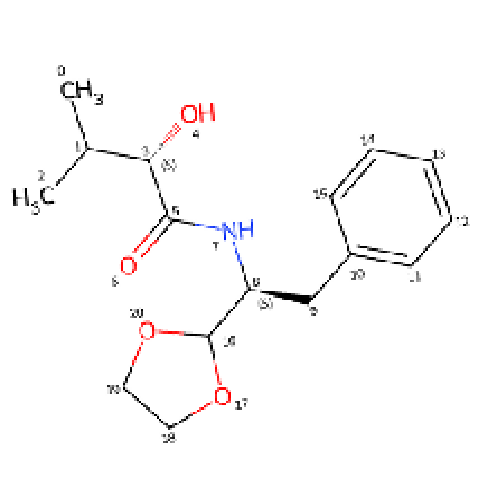 CC(C)[C@H](O)C(=O)N[C@@H](Cc1ccccc1)C1OCCO1